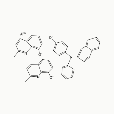 Cc1ccc2cccc([O-])c2n1.Cc1ccc2cccc([O-])c2n1.[Al+3].[O-]c1ccc(N(c2ccccc2)c2ccc3ccccc3c2)cc1